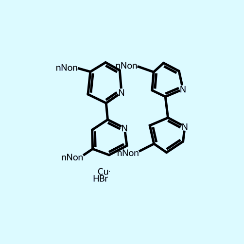 Br.CCCCCCCCCc1ccnc(-c2cc(CCCCCCCCC)ccn2)c1.CCCCCCCCCc1ccnc(-c2cc(CCCCCCCCC)ccn2)c1.[Cu]